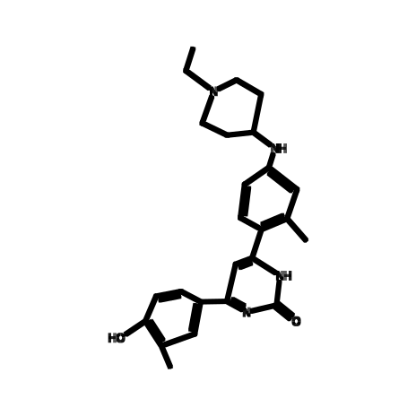 CCN1CCC(Nc2ccc(-c3cc(-c4ccc(O)c(C)c4)nc(=O)[nH]3)c(C)c2)CC1